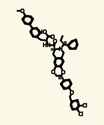 CC[C@@H](c1ccccc1)N1Cc2cc3c(cc2C[C@H]1C(=O)NC(Cc1ccc(-c2ccc(OC)cc2)cc1)C(=O)O)OC[C@H](c1ccc(OCc2ccc(Cl)c(Cl)c2)cc1)O3